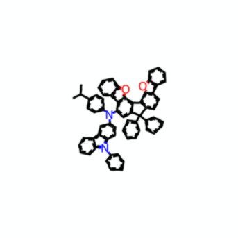 CC(C)c1ccc(N(c2ccc3c(c2)c2ccccc2n3-c2ccccc2)c2cc3c(c4oc5ccccc5c24)-c2c(ccc4c2oc2ccccc24)C3(c2ccccc2)c2ccccc2)cc1